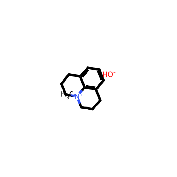 C[N+]12CCCc3cccc(c31)CCC2.[OH-]